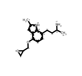 Cc1cc2c(OCC3CO3)ccc(CCC(C)N)c2[nH]1